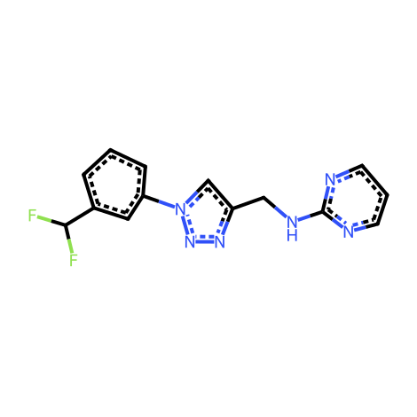 FC(F)c1cccc(-n2cc(CNc3ncccn3)nn2)c1